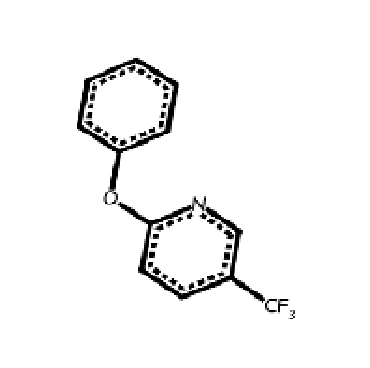 FC(F)(F)c1ccc(Oc2ccccc2)nc1